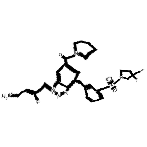 NC/C=C(\F)Cn1nnc2c(-c3cccc(S(=O)(=O)N4CCC(F)(F)C4)c3)cc(C(=O)N3CCCC3)cc21